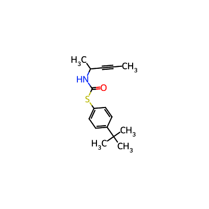 CC#CC(C)NC(=O)Sc1ccc(C(C)(C)C)cc1